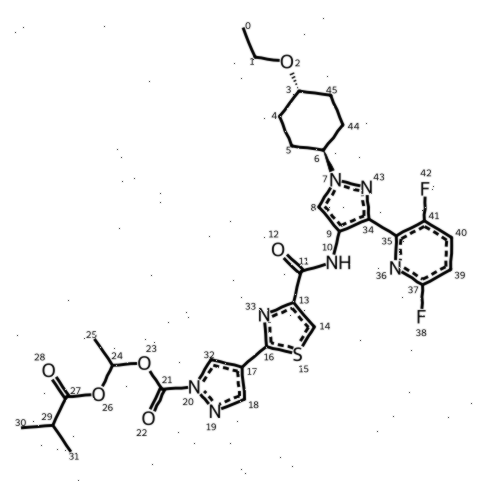 CCO[C@H]1CC[C@H](n2cc(NC(=O)c3csc(-c4cnn(C(=O)OC(C)OC(=O)C(C)C)c4)n3)c(-c3nc(F)ccc3F)n2)CC1